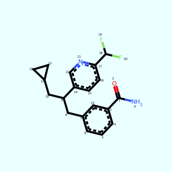 NC(=O)c1cccc(CC(CC2CC2)c2ccc(C(F)F)nc2)c1